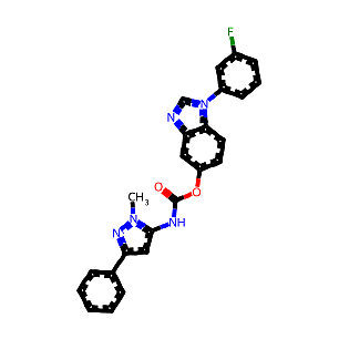 Cn1nc(-c2ccccc2)cc1NC(=O)Oc1ccc2c(c1)ncn2-c1cccc(F)c1